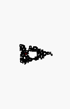 CO[C@@H](C)c1ncc(N2CCN3CCOC[C@@H]3C2)cc1-c1c2c3cc(ccc3n1CC(F)(F)F)-c1csc(n1)C[C@H](NC(=O)N1[C@@H](C)CN(C)C[C@@H]1C)C(=O)N1CCC[C@H](N1)C(=O)OCC(C)(C)C2